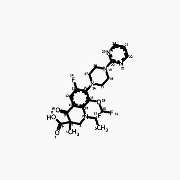 CCN1CC(C)(C(=O)O)C(=O)c2cc(F)c(N3CCN(c4ncccn4)CC3)c(OC(F)F)c21